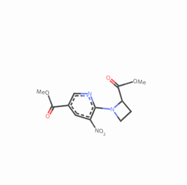 COC(=O)c1cnc(N2CCC2C(=O)OC)c([N+](=O)[O-])c1